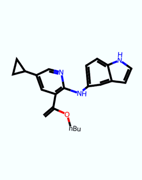 C=C(OCCCC)c1cc(C2CC2)cnc1Nc1ccc2[nH]ccc2c1